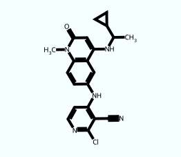 CC(Nc1cc(=O)n(C)c2ccc(Nc3ccnc(Cl)c3C#N)cc12)C1CC1